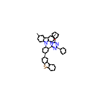 Cc1ccc2c(c1)c1cc(C)ccc1n2-c1ccc(-c2ccc3sc4ccccc4c3c2)cc1-c1nc(-c2ccccc2)nc(-c2ccccc2)n1